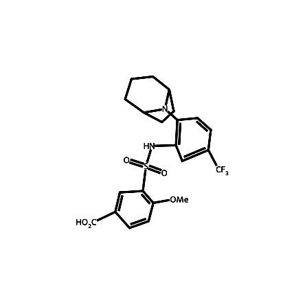 COc1ccc(C(=O)O)cc1S(=O)(=O)Nc1cc(C(F)(F)F)ccc1N1C2CCCC1CC2